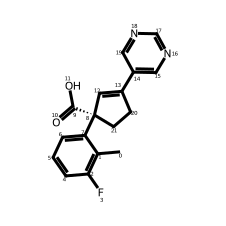 Cc1c(F)cccc1[C@@]1(C(=O)O)C=C(c2cncnc2)CC1